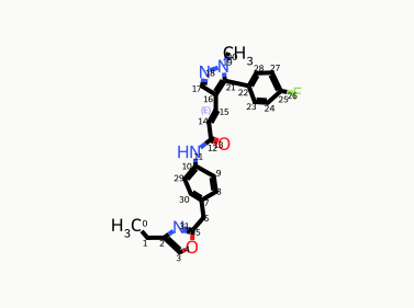 CCc1coc(Cc2ccc(NC(=O)/C=C/c3cnn(C)c3-c3ccc(F)cc3)cc2)n1